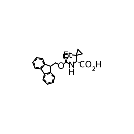 CCC1([C@@H](NC(=O)OCC2c3ccccc3-c3ccccc32)C(=O)O)CC1